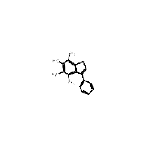 Cc1c(C)c(C)c2c(c1C)[CH]C=C2c1ccccc1